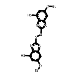 CCOc1cc(S)c2nc(SSc3nc4c(S)cc(OCC)cc4s3)sc2c1